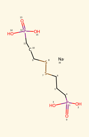 O=P(O)(O)CCCSSCCCP(=O)(O)O.[Na]